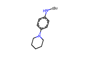 CC(C)(C)Nc1ccc(N2CCCCC2)cc1